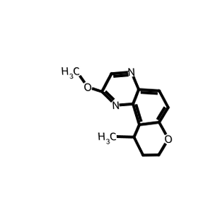 COc1cnc2ccc3c(c2n1)C(C)CCO3